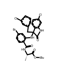 C[C@H](NC(=O)c1ccc(Br)cc1NC1(Cc2cccc(Cl)c2)C(=O)Nc2cc(Cl)ccc21)C(=O)OC(C)(C)C